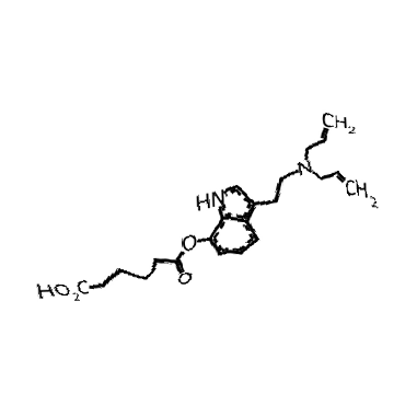 C=CCN(CC=C)CCc1c[nH]c2c(OC(=O)CCCCC(=O)O)cccc12